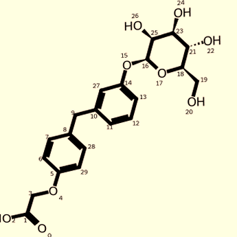 O=C(O)COc1ccc(Cc2cccc(O[C@@H]3O[C@H](CO)[C@@H](O)[C@H](O)[C@@H]3O)c2)cc1